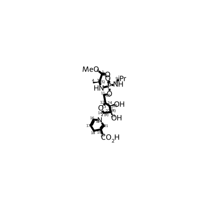 COC(=O)[C@H](C)NP(=O)(NC(C)C)OCC1O[C@@H](N2C=CCC(C(=O)O)=C2)[C@H](O)[C@@H]1O